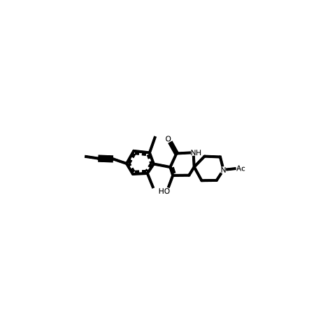 CC#Cc1cc(C)c(C2=C(O)CC3(CCN(C(C)=O)CC3)NC2=O)c(C)c1